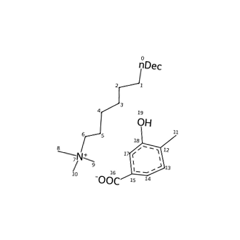 CCCCCCCCCCCCCCCC[N+](C)(C)C.Cc1ccc(C(=O)[O-])cc1O